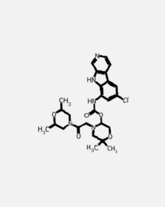 CC1CN(C(=O)CN2CC(C)(C)OCC2OC(=O)Nc2cc(Cl)cc3c2[nH]c2cnccc23)CC(C)O1